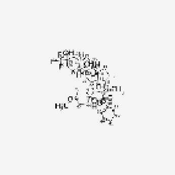 COC1CCC(O)(CC([C@@H](C)[C@H]2CC[C@H]3[C@@H]4CC[C@H]5C[C@](O)(C(F)(F)F)CC[C@]5(C)[C@H]4CC[C@]23C)S(=O)(=O)c2ccccc2)CC1